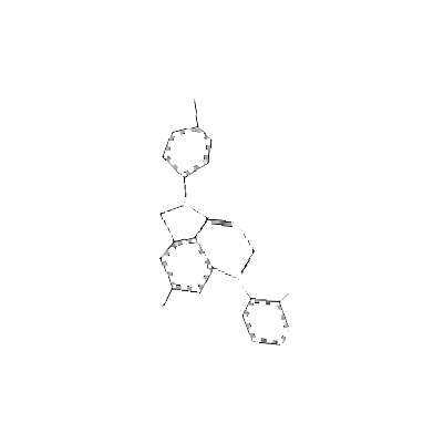 Cc1ncccc1N1CN=C2c3c(cc(Cl)cc31)CN2c1ccc(Cl)cc1